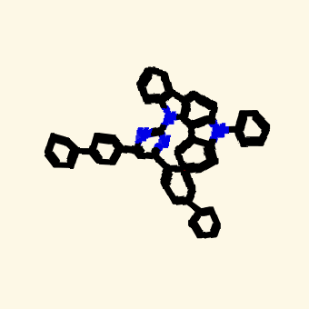 c1ccc(-c2ccc(-c3cc(-c4ccc(-c5ccccc5)cc4)nc(-n4c5ccccc5c5ccc6c(c7ccccc7n6-c6ccccc6)c54)n3)cc2)cc1